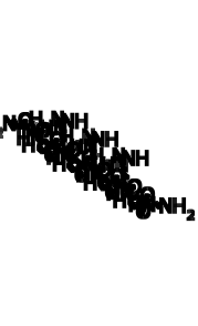 COc1ccc(NC(=O)[C@@H](CCCNC(=N)N)NC(=O)c2cc(NC(=O)[C@@H](CCCNC(=N)N)NC(=O)c3cc(NC(=O)[C@@H](CCCNC(=N)N)NC(=O)c4cc(NC(=O)[C@@H](C)NC(=O)CCN)ccc4OC)ccc3OC)ccc2OC)cc1C(=O)NCCN